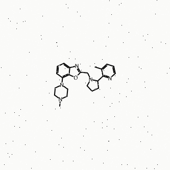 Cc1cccnc1C1CCCN1Cc1nc2cccc(N3CCN(C)CC3)c2o1